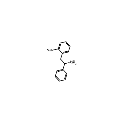 CNc1ccccc1CC([AsH2])c1ccccc1.Cl